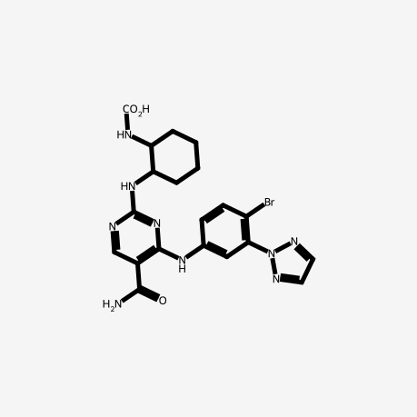 NC(=O)c1cnc(NC2CCCCC2NC(=O)O)nc1Nc1ccc(Br)c(-n2nccn2)c1